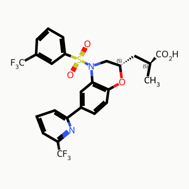 C[C@@H](C[C@H]1CN(S(=O)(=O)c2cccc(C(F)(F)F)c2)c2cc(-c3cccc(C(F)(F)F)n3)ccc2O1)C(=O)O